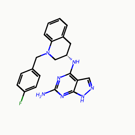 Nc1nc(N[C@H]2Cc3ccccc3N(Cc3ccc(F)cc3)C2)c2cn[nH]c2n1